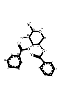 O=C(O[C@H]1[C@H](OC(=O)c2ccccc2)COC(Br)[C@@H]1I)c1ccccc1